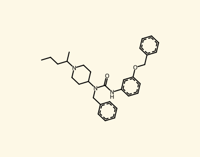 CCCC(C)N1CCC(N(Cc2ccccc2)C(=O)Nc2cccc(OCc3ccccc3)c2)CC1